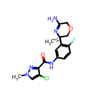 Cn1cc(Cl)c(C(=O)Nc2ccc(F)c([C@]3(C)COCC(N)=N3)c2)n1